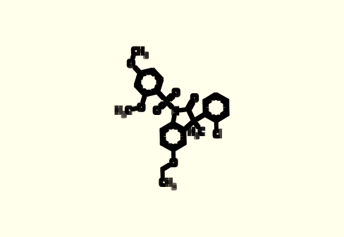 CCOc1ccc2c(c1)C(C)(c1ccccc1Cl)C(=O)N2S(=O)(=O)c1ccc(OC)cc1OC